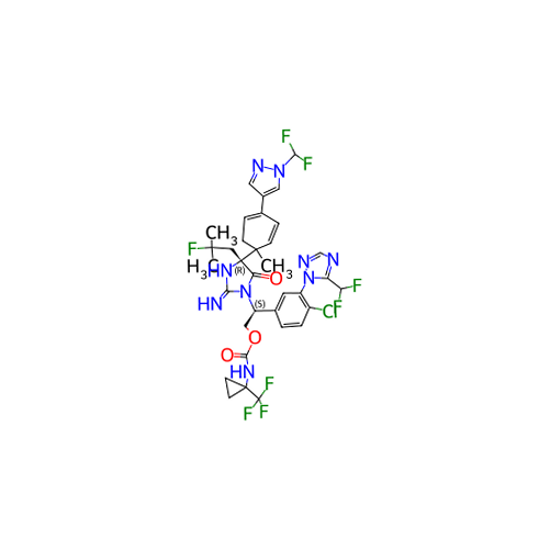 CC(C)(F)C[C@]1(C2(C)C=CC(c3cnn(C(F)F)c3)=CC2)NC(=N)N([C@H](COC(=O)NC2(C(F)(F)F)CC2)c2ccc(Cl)c(-n3ncnc3C(F)F)c2)C1=O